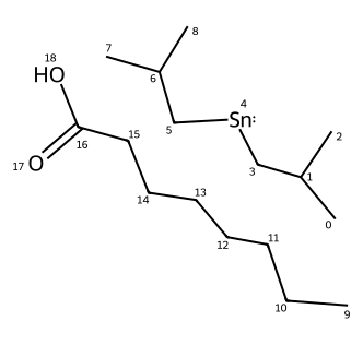 CC(C)[CH2][Sn][CH2]C(C)C.CCCCCCCC(=O)O